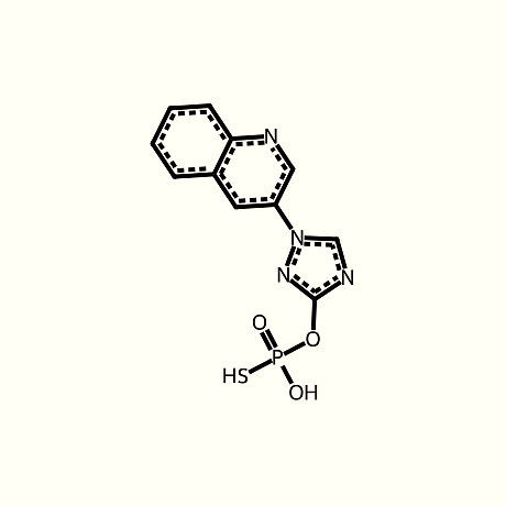 O=P(O)(S)Oc1ncn(-c2cnc3ccccc3c2)n1